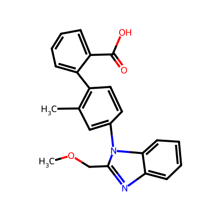 COCc1nc2ccccc2n1-c1ccc(-c2ccccc2C(=O)O)c(C)c1